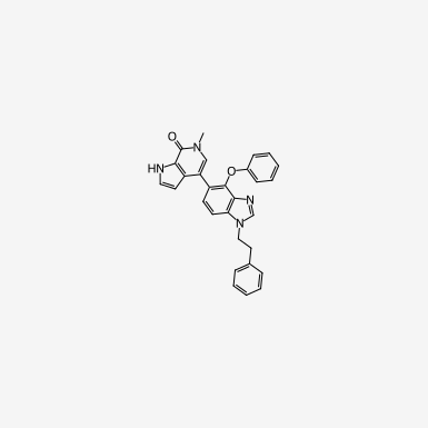 Cn1cc(-c2ccc3c(ncn3CCc3ccccc3)c2Oc2ccccc2)c2cc[nH]c2c1=O